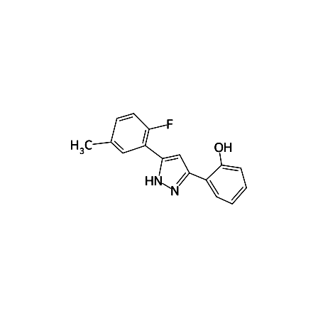 Cc1ccc(F)c(-c2cc(-c3ccccc3O)n[nH]2)c1